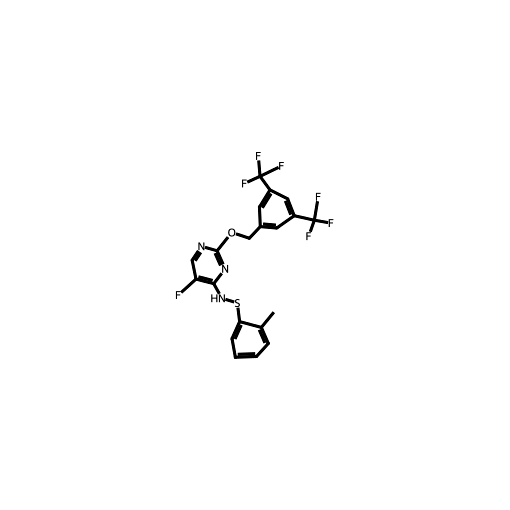 Cc1ccccc1SNc1nc(OCc2cc(C(F)(F)F)cc(C(F)(F)F)c2)ncc1F